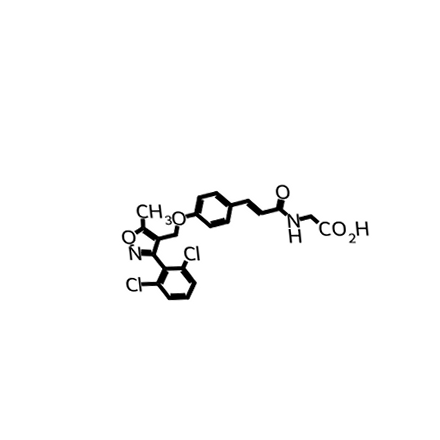 Cc1onc(-c2c(Cl)cccc2Cl)c1COc1ccc(C=CC(=O)NCC(=O)O)cc1